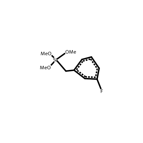 CO[Si](Cc1cccc(F)c1)(OC)OC